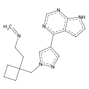 C=NCCC1(Cn2cc(-c3ncnc4[nH]ccc34)cn2)CCC1